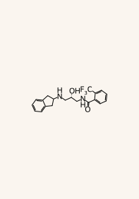 O=C(NC[C@@H](O)CNC1Cc2ccccc2C1)c1ccccc1C(F)(F)F